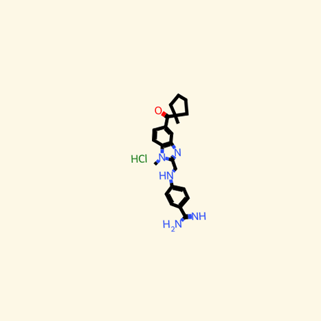 Cl.Cn1c(CNc2ccc(C(=N)N)cc2)nc2cc(C(=O)C3(C)CCCC3)ccc21